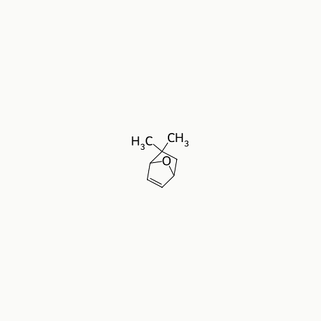 CC1(C)CC2C=CC1O2